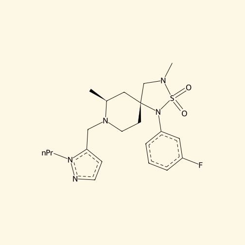 CCCn1nccc1CN1CC[C@@]2(C[C@@H]1C)CN(C)S(=O)(=O)N2c1cccc(F)c1